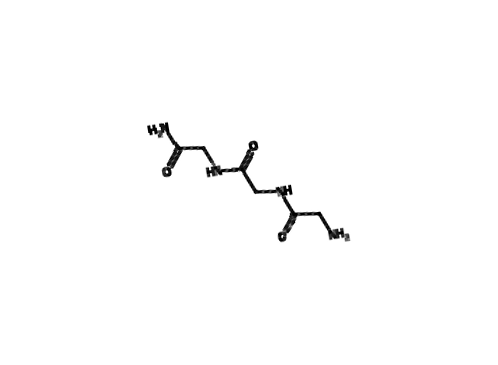 NCC(=O)NCC(=O)NCC(N)=O